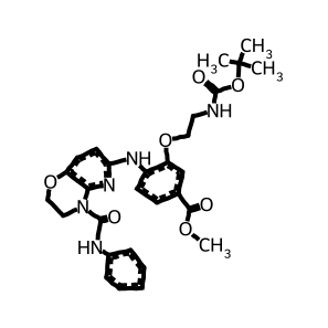 COC(=O)c1ccc(Nc2ccc3c(n2)N(C(=O)Nc2ccccc2)CCO3)c(OCCNC(=O)OC(C)(C)C)c1